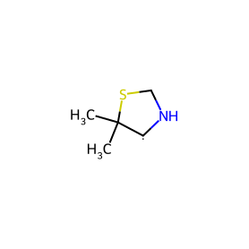 CC1(C)[CH]NCS1